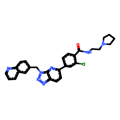 O=C(NCCN1CCCC1)c1ccc(-c2ccc3nnn(Cc4ccc5ncccc5c4)c3n2)cc1Cl